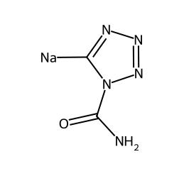 NC(=O)n1nnn[c]1[Na]